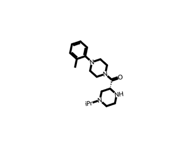 Cc1ccccc1N1CCN(C(=O)[C@H]2CN(C(C)C)CCN2)CC1